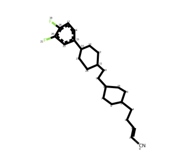 N#CC=CCCC1CCC(CCC2CCC(c3ccc(F)c(F)c3)CC2)CC1